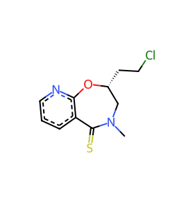 CN1C[C@@H](CCCl)Oc2ncccc2C1=S